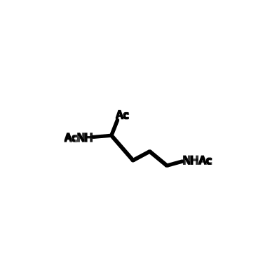 CC(=O)NCCCC(NC(C)=O)C(C)=O